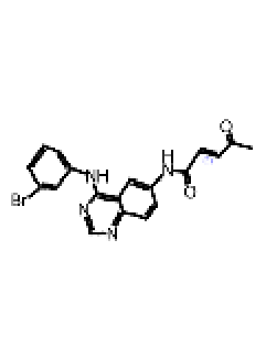 CC(=O)/C=C/C(=O)Nc1ccc2ncnc(Nc3cccc(Br)c3)c2c1